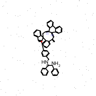 C=C1/C=c2\c(c3ccccc3c3ccccc23)=C/CC2(c3ccccc31)c1ccccc1-c1ccc(-c3ccc(CN[C@@H](c4ccccc4)C(N)c4ccccc4)cc3)cc12